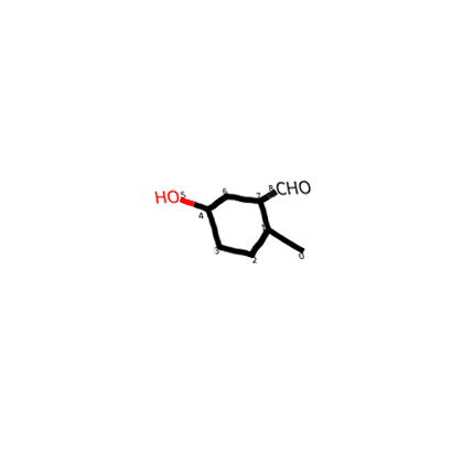 CC1CCC(O)CC1C=O